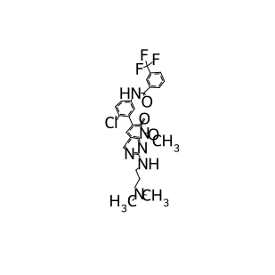 COn1c(=O)c(-c2cc(NC(=O)c3cccc(C(F)(F)F)c3)ccc2Cl)cc2cnc(NCCCN(C)C)nc21